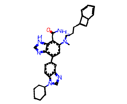 CN(CCCC1CC2C=CC=CC21)c1cc(-c2ccc3c(c2)ncn3C2CCCCC2)c2nc[nH]c2c1C(N)=O